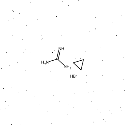 Br.C1CC1.N=C(N)N